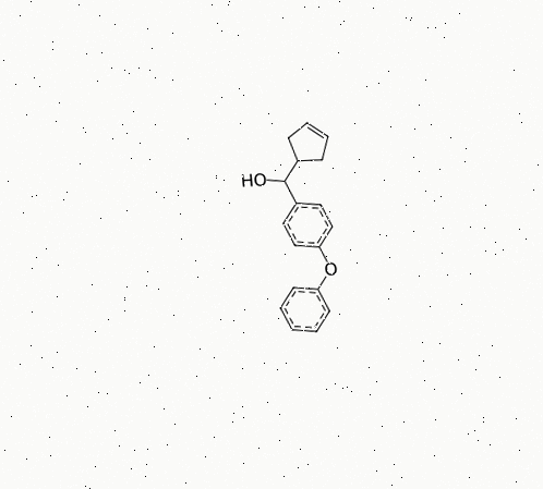 OC(c1ccc(Oc2ccccc2)cc1)C1CC=CC1